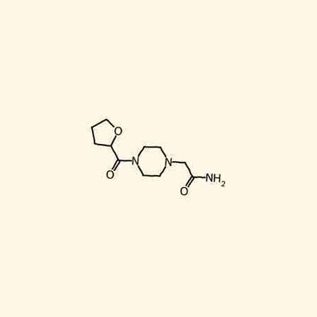 NC(=O)CN1CCN(C(=O)C2CCCO2)CC1